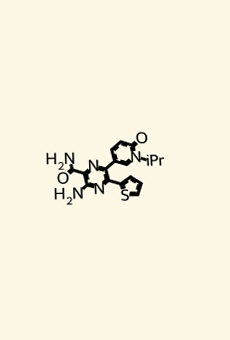 CC(C)n1cc(-c2nc(C(N)=O)c(N)nc2-c2cccs2)ccc1=O